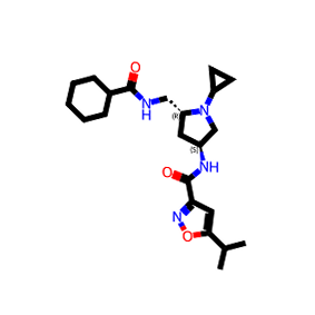 CC(C)c1cc(C(=O)N[C@H]2C[C@H](CNC(=O)C3CCCCC3)N(C3CC3)C2)no1